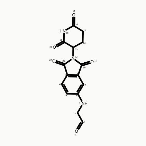 O=CCNc1ccc2c(c1)C(=O)N(C1CCC(=O)NC1=O)C2=O